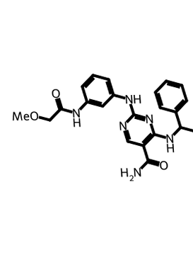 COCC(=O)Nc1cccc(Nc2ncc(C(N)=O)c(NC(C)c3ccccc3)n2)c1